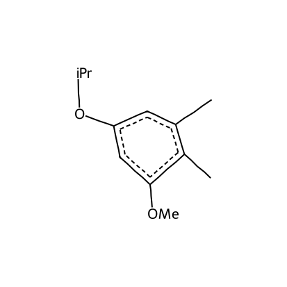 COc1cc(OC(C)C)cc(C)c1C